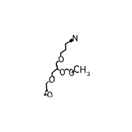 COCOC(COCCCC#N)COCC1CO1